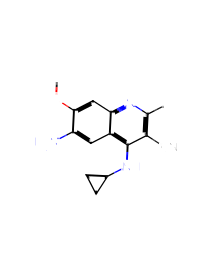 CCOc1cc2nc(CC)c(C#N)c(NC3CC3)c2cc1N